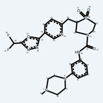 CN1CCN(c2cccc(NC(=O)N3CCS(=O)(=O)C(Cc4ccc(-c5nnc(C(F)F)o5)cn4)C3)c2)CC1